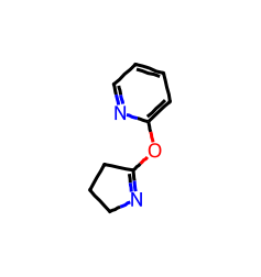 c1ccc(OC2=NCCC2)nc1